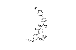 CC(C)c1ccc(-c2ccc(C(=O)NC3CCN([C@H]4CC[C@@H](NC(C)(C)C)C[C@@]4(C)C(=O)O)C3=O)o2)cc1